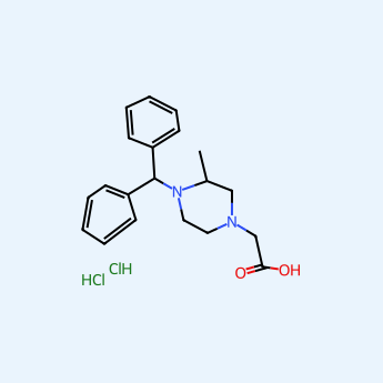 CC1CN(CC(=O)O)CCN1C(c1ccccc1)c1ccccc1.Cl.Cl